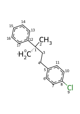 [CH2][C@](C)(CCc1ccc(Cl)cc1)c1ccccc1